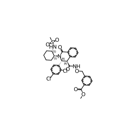 COC(=O)c1cccc(CONC(=O)[C@@H]2c3ccccc3C(=O)N([C@H]3CCCC[C@@H]3NS(C)(=O)=O)[C@H]2c2ccc(Cl)cc2Cl)c1